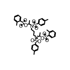 Cc1ccc(S(=O)(=O)N(CCCN(C(C)OS(=O)(=O)c2ccccc2C)S(=O)(=O)c2ccc(C)cc2)C(C)OS(=O)(=O)c2ccccc2C)cc1